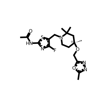 CC(=O)Nc1nc(F)c(CN2CC[C@](C)(OCc3nnc(C)o3)CC2(C)C)s1